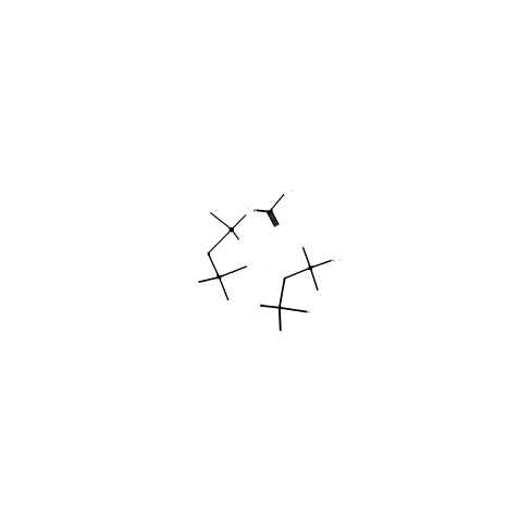 CC(C)(C)CC(C)(C)N.CC(C)(C)CC(C)(C)NC(=S)S